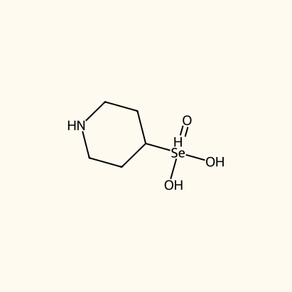 O=[SeH](O)(O)C1CCNCC1